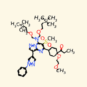 CCC(=O)C1(OCCOC)CCC(c2nc3c(-c4cnn(-c5ccccc5)c4)cnn3c(N(COCC[Si](C)(C)C)COCC[Si](C)(C)C)c2S(C)(=O)=O)CC1